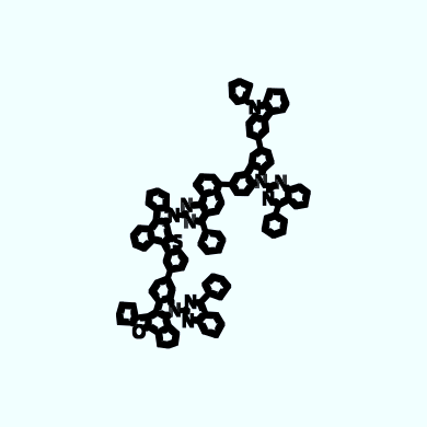 c1ccc(-c2nc(-n3c4ccc(-c5ccc6c(c5)c5ccccc5n6-c5ccccc5)cc4c4cc(-c5cccc6c5ccc5c(-c7ccccc7)nc(-n7c8ccccc8c8c9ccccc9c9c%10cc(-c%11ccc%12c%13c%14c%15ccccc%15oc%14c%14ccccc%14c%13n(-c%13nc(-c%14ccccc%14)c%14ccccc%14n%13)c%12c%11)ccc%10sc9c87)nc56)ccc43)nc3ccccc23)cc1